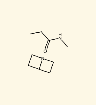 C1CN2CCC12.CCC(=O)NC